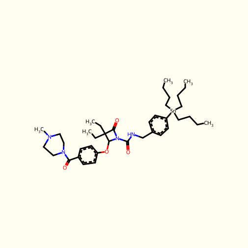 CCC[CH2][Sn]([CH2]CCC)([CH2]CCC)[c]1ccc(CNC(=O)N2C(=O)C(CC)(CC)C2Oc2ccc(C(=O)N3CCN(C)CC3)cc2)cc1